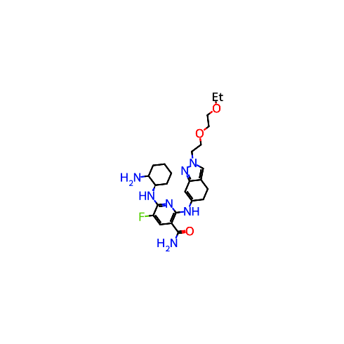 CCOCCOCCn1cc2c(n1)C=C(Nc1nc(N[C@@H]3CCCCC3N)c(F)cc1C(N)=O)CC2